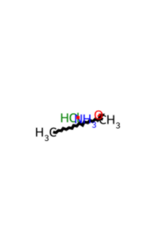 CCCCCCCCCCCCCCCCCCC1(C)CO1.Cl.N